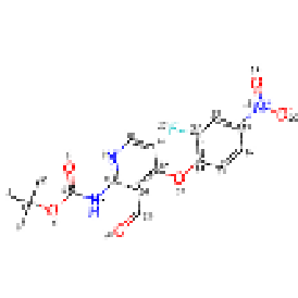 CC(C)(C)OC(=O)Nc1nccc(Oc2ccc([N+](=O)[O-])cc2F)c1C=O